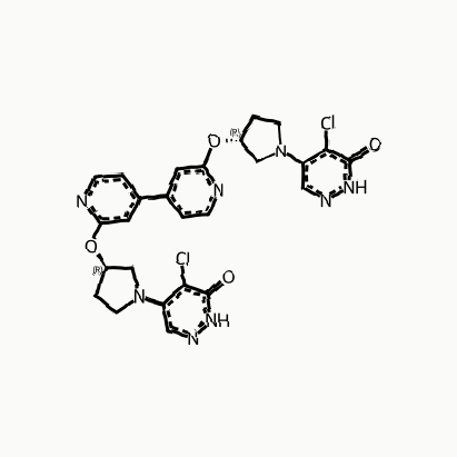 O=c1[nH]ncc(N2CC[C@@H](Oc3cc(-c4ccnc(O[C@@H]5CCN(c6cn[nH]c(=O)c6Cl)C5)c4)ccn3)C2)c1Cl